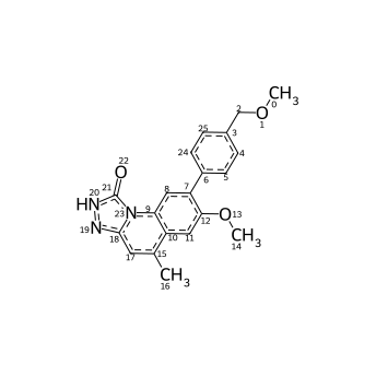 COCc1ccc(-c2cc3c(cc2OC)c(C)cc2n[nH]c(=O)n23)cc1